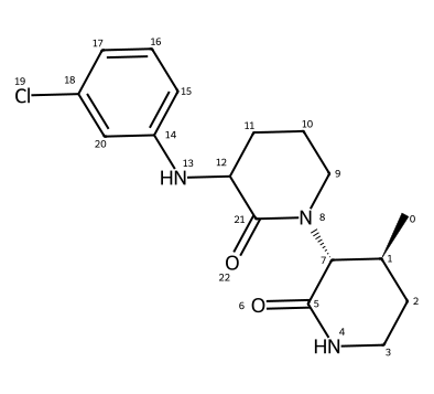 C[C@H]1CCNC(=O)[C@@H]1N1CCCC(Nc2cccc(Cl)c2)C1=O